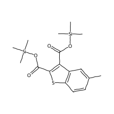 Cc1ccc2sc(C(=O)O[Si](C)(C)C)c(C(=O)O[Si](C)(C)C)c2c1